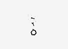 CC(NC(=O)COc1ccccc1)C(=O)O